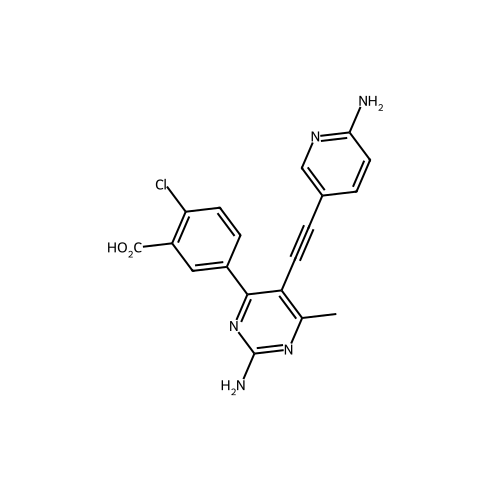 Cc1nc(N)nc(-c2ccc(Cl)c(C(=O)O)c2)c1C#Cc1ccc(N)nc1